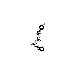 NC(Cc1nc2ccccc2s1)=NOC(=O)CSc1nnc(-c2ccc(Cl)cc2)o1